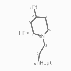 CCCCCCCCCN1CCC(CC)CC1.F